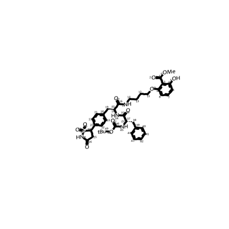 COC(=O)c1c(O)cccc1OCCCCNC(=O)[C@H](Cc1ccc(C2CC(=O)NS2(=O)=O)cc1)NC(=O)[C@H](Cc1ccccc1)NC(=O)OC(C)(C)C